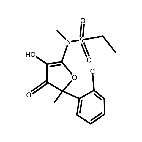 CCS(=O)(=O)N(C)C1=C(O)C(=O)C(C)(c2ccccc2Cl)O1